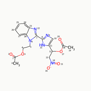 CC(=O)OCCn1c(-c2ncc(C(C[N+](=O)[O-])OC(C)=O)[nH]2)nc2ccccc21